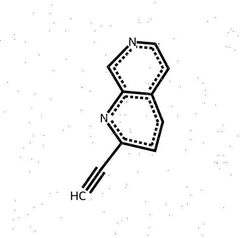 C#Cc1ccc2c[c]ncc2n1